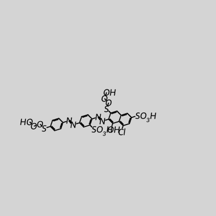 O=S(=O)(O)c1cc(Cl)c2c(O)c(/N=N/c3ccc(/N=N/c4ccc(SOOO)cc4)cc3S(=O)(=O)O)c(SOOO)cc2c1